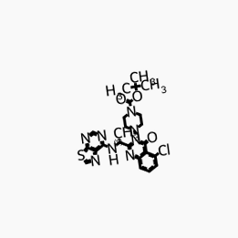 C[C@H](Nc1ncnc2scnc12)c1nc2cccc(Cl)c2c(=O)n1N1CCN(C(=O)OC(C)(C)C)CC1